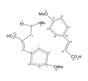 CCCCC(CC)CC(=Cc1ccc(OC)cc1)C(=O)O.COc1ccc(C=CC(=O)O)cc1